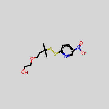 CC(C)(CCOCCO)SSc1ccc([N+](=O)[O-])cn1